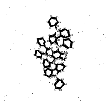 c1ccc(-c2nc3c(N(c4ccccc4)c4cccc5c4c4ccccc4n5-c4ccccc4)c4nsnc4c(N(c4ccccc4)c4cccc5c4c4ccccc4n5-c4ccccc4)c3nc2-c2ccccc2)cc1